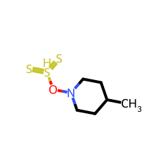 CC1CCN(O[SH](=S)=S)CC1